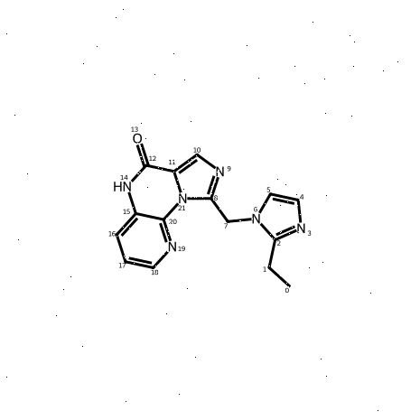 CCc1nccn1Cc1ncc2c(=O)[nH]c3cccnc3n12